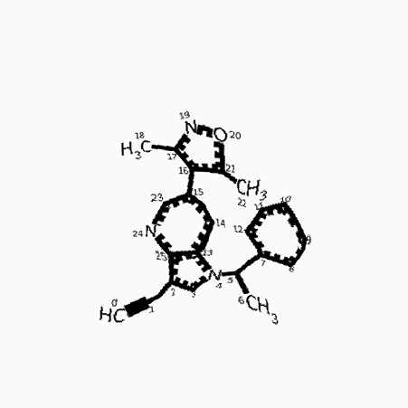 C#Cc1cn(C(C)c2ccccc2)c2cc(-c3c(C)noc3C)cnc12